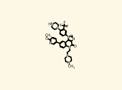 COc1ccc(-c2ccc3c(c2)c2c(nnn2-c2ccc(N4CCNCC4)c(C(F)(F)F)c2)c(=O)n3CCN2CCN(C)CC2)cn1